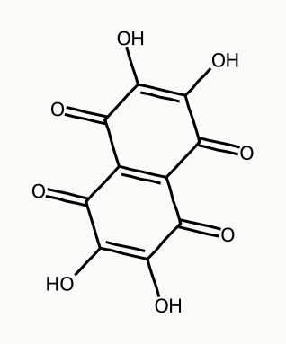 O=c1c(O)c(O)c(=O)c2c(=O)c(O)c(O)c(=O)c1=2